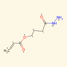 C=CC(=O)OCCCC(=O)NN